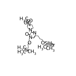 CC(C)C(C)(C)[SiH2]OCCCc1cn(COCC[Si](C)(C)C)c(=O)c(N2CCN(S(C)(=O)=O)CC2)n1